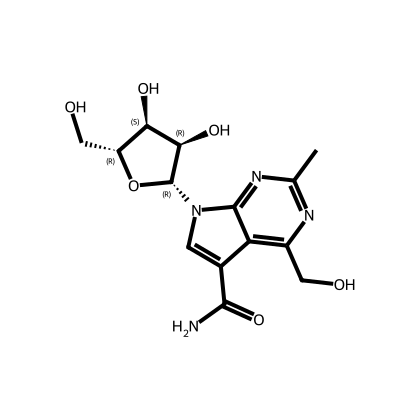 Cc1nc(CO)c2c(C(N)=O)cn([C@@H]3O[C@H](CO)[C@@H](O)[C@H]3O)c2n1